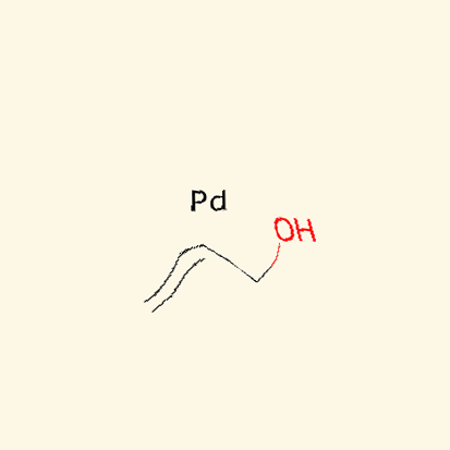 C=CCO.[Pd]